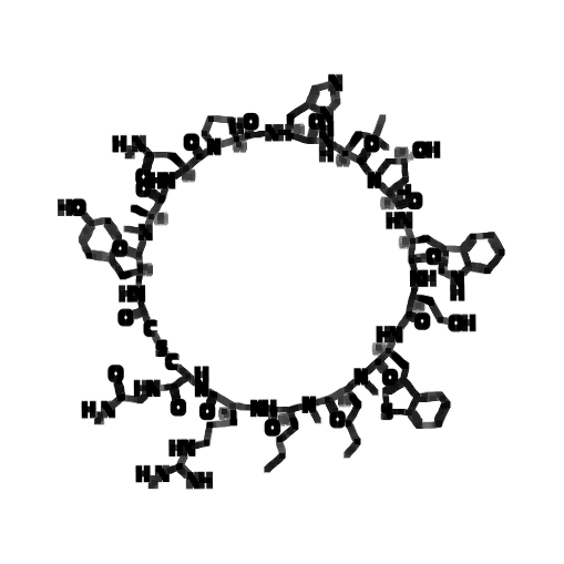 CCCC[C@H]1C(=O)N(C)[C@@H](CCCC)C(=O)N[C@@H](CCCNC(=N)N)C(=O)NC(C(=O)NCC(N)=O)CSCC(=O)N[C@@H](Cc2ccc(O)cc2)C(=O)N(C)[C@@H](C)C(=O)N[C@@H](CC(N)=O)C(=O)N2CCC[C@H]2C(=O)N[C@@H](Cc2cnc[nH]2)C(=O)N[C@@H](CC(C)C)C(=O)N2C[C@H](O)C[C@H]2C(=O)N[C@@H](Cc2c[nH]c3ccccc23)C(=O)N[C@@H](CCO)C(=O)N[C@@H](Cc2csc3ccccc23)C(=O)N1C